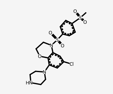 CS(=O)(=O)c1ccc(S(=O)(=O)N2CCOc3c(N4CCNCC4)cc(Cl)cc32)cc1